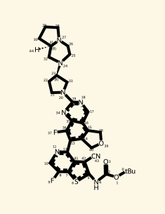 CC(C)(C)OC(=O)Nc1sc2c(F)cnc(-c3c4c(c5cnc(N6CC[C@@H](N7CCN8CCC[C@@H]8C7)C6)nc5c3F)COC4)c2c1C#N